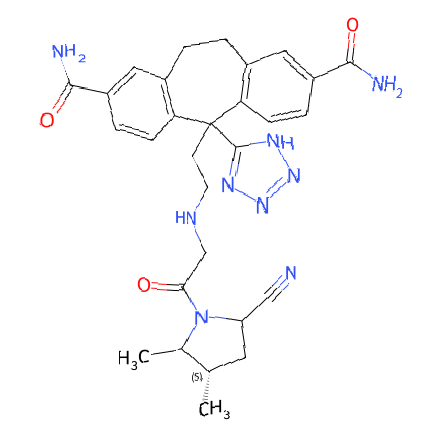 CC1[C@@H](C)CC(C#N)N1C(=O)CNCCC1(c2nnn[nH]2)c2ccc(C(N)=O)cc2CCc2cc(C(N)=O)ccc21